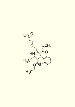 CCOC(=O)C1=C(C)NC(COCC[N+](=O)[O-])=C(C(=O)OC)C1c1ccccc1Cl